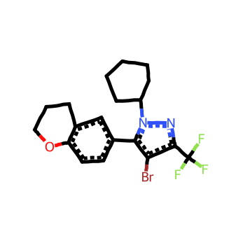 FC(F)(F)c1nn(C2CCCCC2)c(-c2ccc3c(c2)CCCO3)c1Br